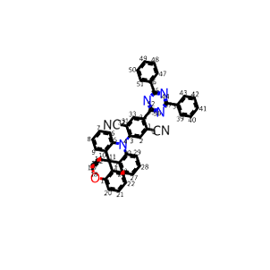 N#Cc1cc(N2c3ccccc3C3(c4ccccc4Oc4ccccc43)c3ccccc32)c(C#N)cc1-c1nc(-c2ccccc2)nc(-c2ccccc2)n1